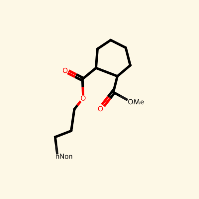 CCCCCCCCCCCCOC(=O)C1CCCCC1C(=O)OC